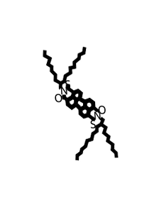 CCCCCCCCCCC(CCCCCCCC)CN1C(=O)c2ccc3c4ccc5c6c(ccc(c7ccc(c2c37)C1=S)c64)C(=O)N(CC(CCCCCCCC)CCCCCCCCCC)C5=S